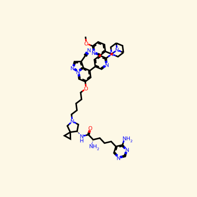 COc1ccc(CN2C3CC2CN(c2ccc(-c4cc(OCCCCCN5C[C@H](NC(=O)[C@@H](N)CCCc6cncnc6N)C6(CC6)C5)cn5ncc(C#N)c45)cn2)C3)cn1